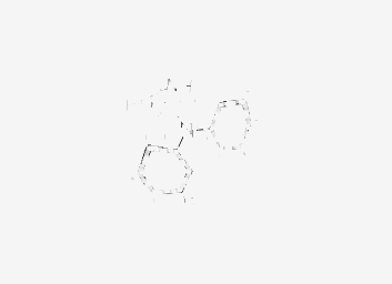 CN.O=C(O)N(c1ccccc1)c1ccccc1